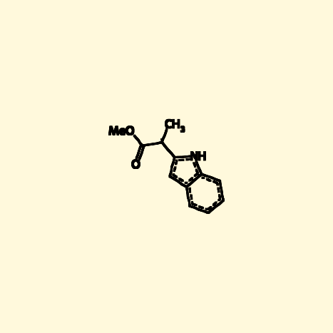 COC(=O)[C](C)c1cc2ccccc2[nH]1